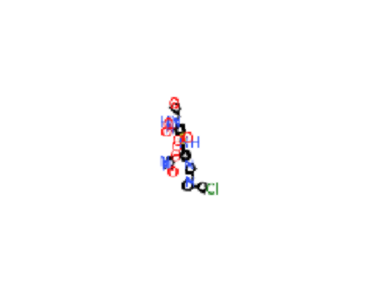 Cn1ncc(Oc2cc(N3CCC(CN4CCCCC4c4ccc(Cl)cc4)CC3)ccc2C(=O)NS(=O)(=O)c2ccc(NCC3CCOCC3)c([N+](=O)[O-])c2)cc1=O